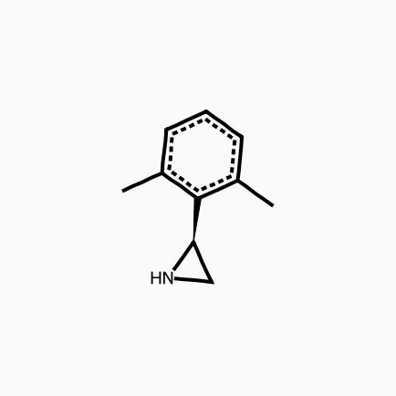 Cc1cccc(C)c1[C@H]1CN1